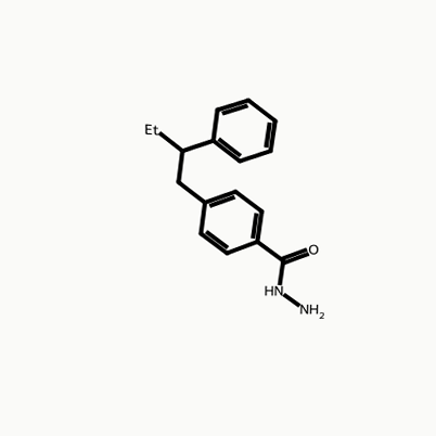 [CH2]CC(Cc1ccc(C(=O)NN)cc1)c1ccccc1